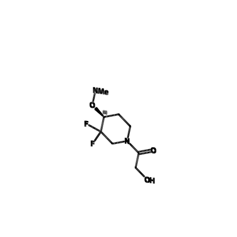 CNO[C@H]1CCN(C(=O)CO)CC1(F)F